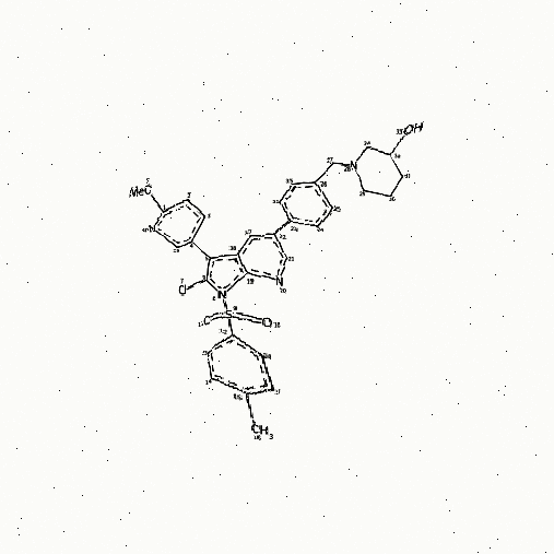 COc1ccc(-c2c(Cl)n(S(=O)(=O)c3ccc(C)cc3)c3ncc(-c4ccc(CN5CCCC(O)C5)cc4)cc23)cn1